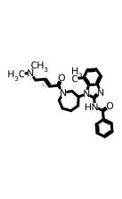 Cc1cccc2nc(NC(=O)c3ccccc3)n(C3CCCCN(C(=O)/C=C/CN(C)C)C3)c12